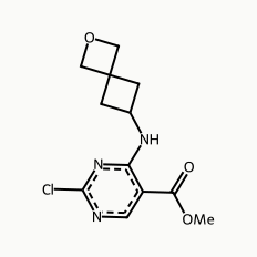 COC(=O)c1cnc(Cl)nc1NC1CC2(COC2)C1